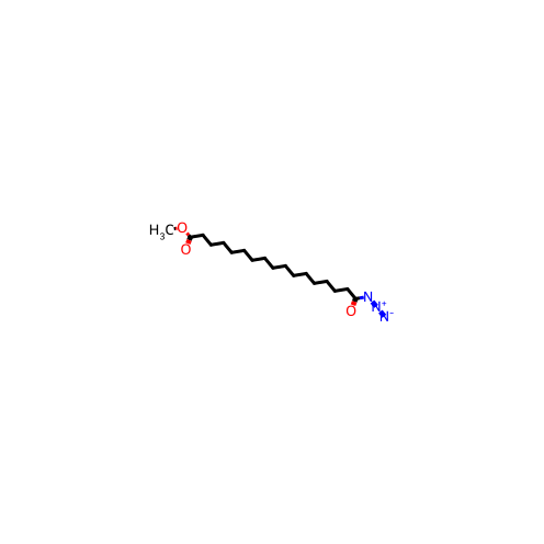 COC(=O)CCCCCCCCCCCCCCCC(=O)N=[N+]=[N-]